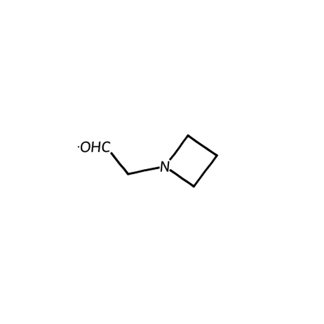 O=[C]CN1CCC1